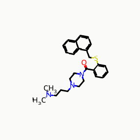 CN(C)CCCN1CCN(C(=O)c2ccccc2SCc2cccc3ccccc23)CC1